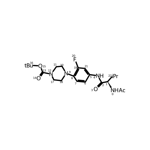 CC(=O)N[C@@H](C(=O)Nc1ccc(N2CCN(C(=O)OC(C)(C)C)CC2)c(F)c1)C(C)C